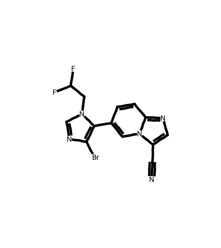 N#Cc1cnc2ccc(-c3c(Br)ncn3CC(F)F)cn12